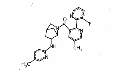 Cc1ccc(NC2CC3CC2N(C(=O)c2cc(C)cnc2-c2ncccc2F)C3)nc1